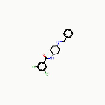 O=C(N[C@H]1CC[C@H](NCc2ccccc2)CC1)c1cc(F)cc(Cl)c1